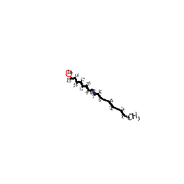 CCCCCCC/C=C/CCCCCC[C]=O